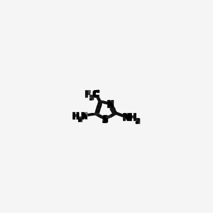 Nc1nc(C(F)(F)F)c(N)s1